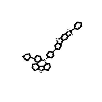 c1ccc(-c2ccc(N(c3ccc(-c4ccc5c(c4)oc4cc6oc(-c7ccccc7)nc6cc45)cc3)c3cccc4oc5ccccc5c34)cc2)cc1